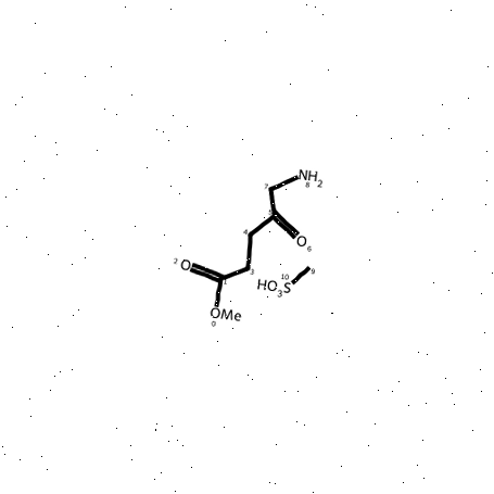 COC(=O)CCC(=O)CN.CS(=O)(=O)O